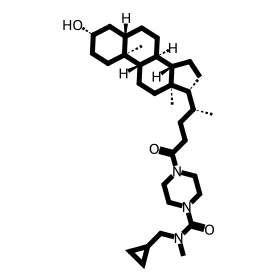 C[C@H](CCC(=O)N1CCN(C(=O)N(C)CC2CC2)CC1)[C@H]1CC[C@H]2[C@@H]3CC[C@H]4C[C@@H](O)CC[C@]4(C)[C@H]3CC[C@]12C